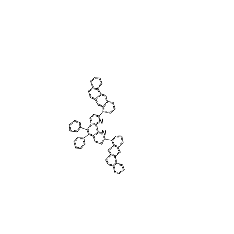 c1ccc(-c2c(-c3ccccc3)c3ccc(-c4cccc5cc6c(ccc7ccccc76)cc45)nc3c3nc(-c4cccc5cc6c(ccc7ccccc76)cc45)ccc23)cc1